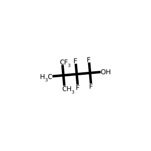 CC(C)(C(F)(F)F)C(F)(F)C(O)(F)F